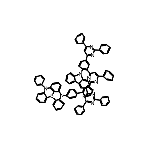 c1ccc(-c2cc(-c3ccc(-n4c5ccccc5c5cc(-c6nc(-c7ccccc7)nc(-c7ccccc7)n6)ccc54)c(-c4cc(-c5ccccc5)nc(-c5cccc(-c6ccc(N7c8ccccc8B8c9ccccc9N(c9ccccc9)c9cccc7c98)cc6)c5)n4)c3)nc(-c3ccccc3)n2)cc1